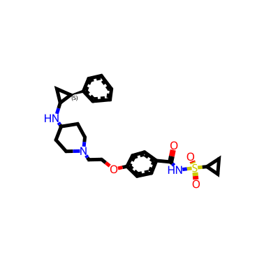 O=C(NS(=O)(=O)C1CC1)c1ccc(OCCN2CCC(NC3C[C@H]3c3ccccc3)CC2)cc1